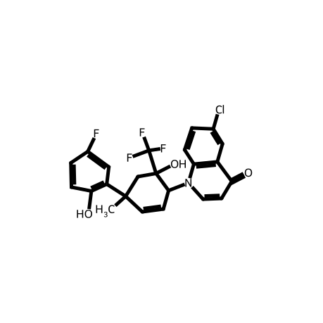 CC1(c2cc(F)ccc2O)C=CC(n2ccc(=O)c3cc(Cl)ccc32)C(O)(C(F)(F)F)C1